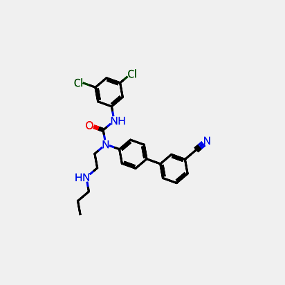 CCCNCCN(C(=O)Nc1cc(Cl)cc(Cl)c1)c1ccc(-c2cccc(C#N)c2)cc1